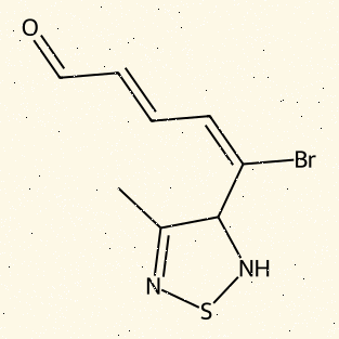 CC1=NSNC1/C(Br)=C\C=C\C=O